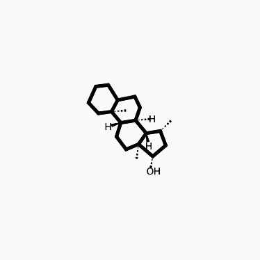 C[C@@H]1C[C@H](O)[C@@]2(C)CC[C@H]3[C@@H](CCC4CCCC[C@@]43C)[C@H]12